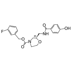 O=C(NC[C@@H]1CN(C(=O)OCc2cccc(F)c2)CCO1)c1ccc(O)cc1